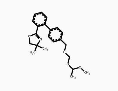 COC(C)OCOCc1ccc(-c2ccccc2C2=NC(C)(C)CO2)cc1